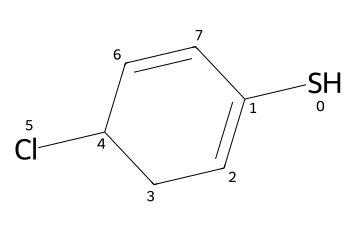 SC1=CCC(Cl)C=C1